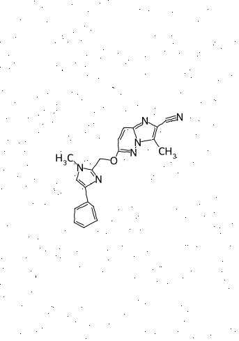 Cc1c(C#N)nc2ccc(OCc3nc(-c4ccccc4)cn3C)nn12